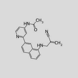 C=C(C#N)CNc1cccc2ccc(-c3cc(NC(C)=O)ccn3)cc12